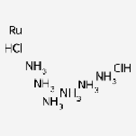 Cl.Cl.N.N.N.N.N.N.[Ru]